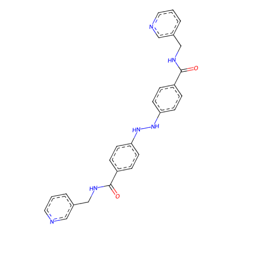 O=C(NCc1cccnc1)c1ccc(NNc2ccc(C(=O)NCc3cccnc3)cc2)cc1